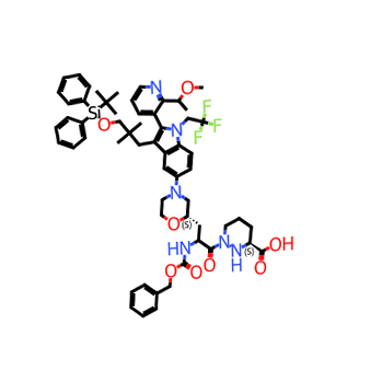 COC(C)c1ncccc1-c1c(CC(C)(C)CO[Si](c2ccccc2)(c2ccccc2)C(C)(C)C)c2cc(N3CCO[C@@H](CC(NC(=O)OCc4ccccc4)C(=O)N4CCC[C@@H](C(=O)O)N4)C3)ccc2n1CC(F)(F)F